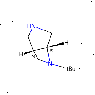 CC(C)(C)N1C[C@@H]2CNC[C@@H]21